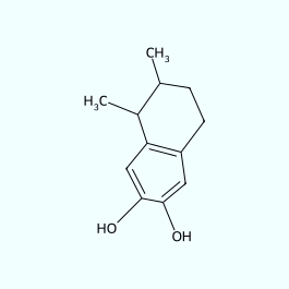 CC1CCc2cc(O)c(O)cc2C1C